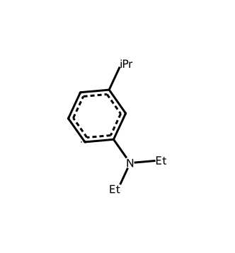 CCN(CC)c1[c]ccc(C(C)C)c1